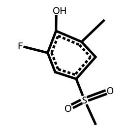 Cc1cc(S(C)(=O)=O)cc(F)c1O